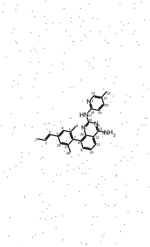 C/C=C/c1cc(C)c(-c2cccc3c(N)nc(Nc4ccc(C)cn4)nc23)c(C)c1